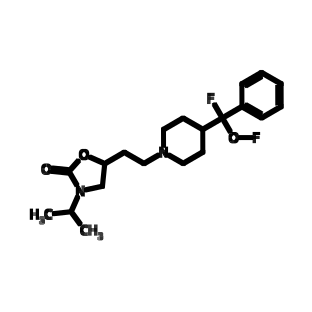 CC(C)N1CC(CCN2CCC(C(F)(OF)c3ccccc3)CC2)OC1=O